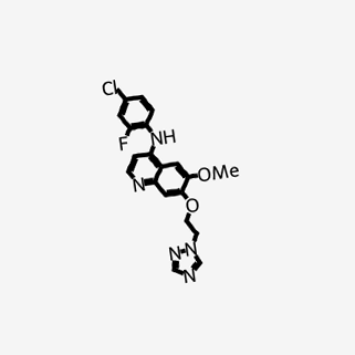 COc1cc2c(Nc3ccc(Cl)cc3F)ccnc2cc1OCCn1cncn1